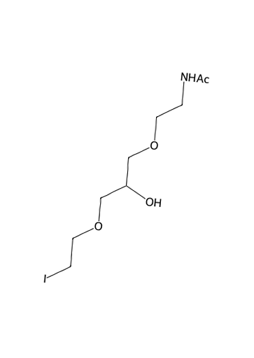 CC(=O)NCCOCC(O)COCCI